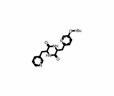 CCCCOc1ccc(CC2NC(=O)C(Cc3cccnc3)NC2=O)nc1